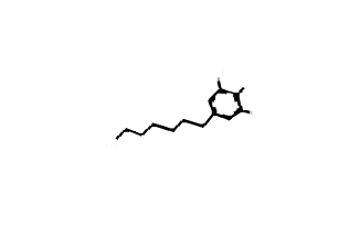 OCCCCCCc1cc(Cl)c(Cl)c(Cl)c1